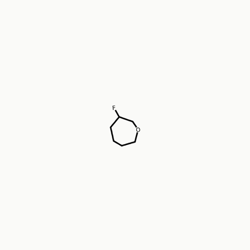 FC1CCCCOC1